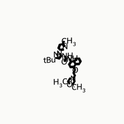 Cc1ccc(-n2nc(C(C)(C)C)cc2NC(=O)Nc2ccc(OCCN3C[C@H](C)O[C@@H](C)C3)c3ccccc23)cn1